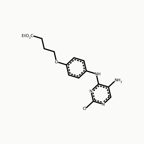 CCOC(=O)CCCOc1ccc(Nc2nc(Cl)ncc2N)cc1